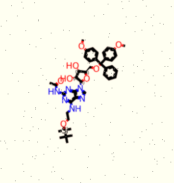 COc1ccc(C(OC[C@H]2O[C@@H](n3cnc4c(NCCO[Si](C)(C)C(C)(C)C)nc(NC(C)=O)nc43)[C@H](O)[C@@H]2O)(c2ccccc2)c2ccc(OC)cc2)cc1